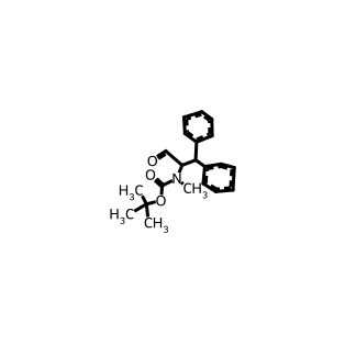 CN(C(=O)OC(C)(C)C)C(C=O)C(c1ccccc1)c1ccccc1